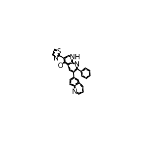 O=c1c(-c2nccs2)c[nH]c2nc(-c3ccccc3)c(-c3ccc4ncccc4c3)cc12